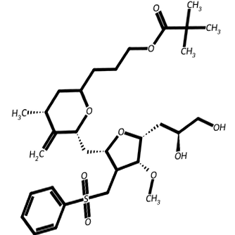 C=C1[C@H](C)CC(CCCOC(=O)C(C)(C)C)O[C@@H]1C[C@@H]1O[C@H](C[C@H](O)CO)[C@H](OC)C1CS(=O)(=O)c1ccccc1